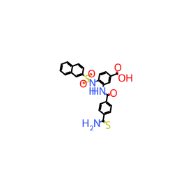 NC(=S)c1ccc(C(=O)Nc2cc(C(=O)O)ccc2NS(=O)(=O)c2ccc3ccccc3c2)cc1